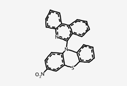 O=[N+]([O-])c1ccc2c(c1)Sc1ccccc1N2c1nc2ccccc2c2ccccc12